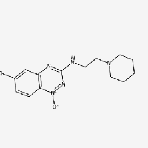 [O-][n+]1nc(NCCN2CCCCC2)nc2cc(Cl)ccc21